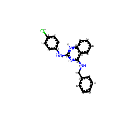 Clc1ccc(Nc2nc(NCc3ccccc3)c3ccccc3n2)cc1